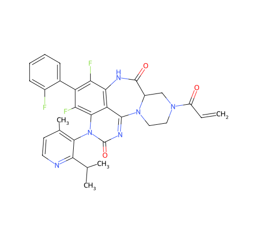 C=CC(=O)N1CCN2c3nc(=O)n(-c4c(C)ccnc4C(C)C)c4c(F)c(-c5ccccc5F)c(F)c(c34)NC(=O)C2C1